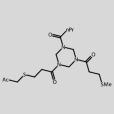 CCCC(=O)N1CN(C(=O)CCSC)CN(C(=O)CCSCC(C)=O)C1